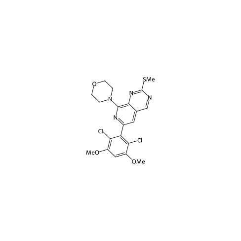 COc1cc(OC)c(Cl)c(-c2cc3cnc(SC)nc3c(N3CCOCC3)n2)c1Cl